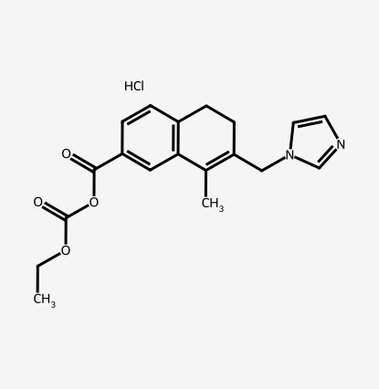 CCOC(=O)OC(=O)c1ccc2c(c1)C(C)=C(Cn1ccnc1)CC2.Cl